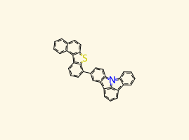 c1ccc2c(c1)ccc1sc3c(-c4ccc5c(c4)c4cccc6c7ccccc7n5c64)cccc3c12